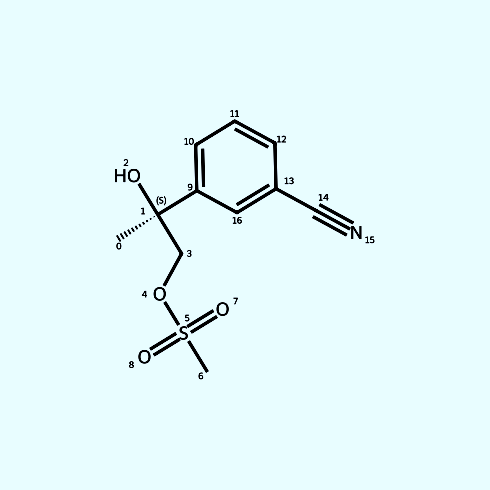 C[C@@](O)(COS(C)(=O)=O)c1cccc(C#N)c1